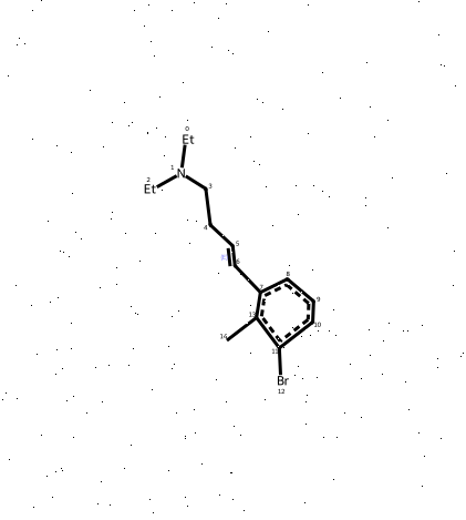 CCN(CC)CC/C=C/c1cccc(Br)c1C